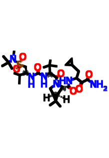 CC(C)[C@@H](CS(=O)(=O)N(C)C(C)(C)C)NC(=O)N[C@H](C(=O)N1C[C@H]2[C@@H]([C@H]1C(=O)NC(CC1CC1)C(=O)C(N)=O)C2(C)C)C(C)(C)C